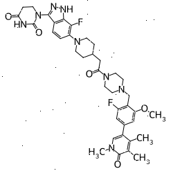 COc1cc(-c2cn(C)c(=O)c(C)c2C)cc(F)c1CN1CCN(C(=O)CC2CCN(c3ccc4c(N5CCC(=O)NC5=O)n[nH]c4c3F)CC2)CC1